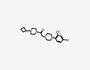 CC(=O)c1ccc(N2CCN(CC(=O)N3CCN(C4CCC4)CC3)CC2)c(C(F)(F)F)c1